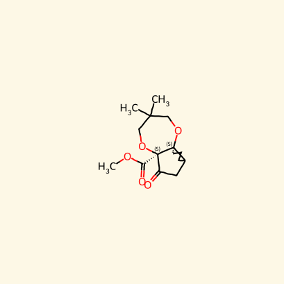 COC(=O)[C@]12OCC(C)(C)CO[C@]13CCCC3CC2=O